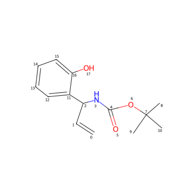 C=CC(NC(=O)OC(C)(C)C)c1ccccc1O